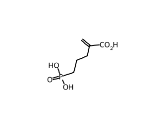 C=C(CCCP(=O)(O)O)C(=O)O